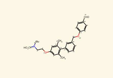 Cc1cc(OCCN(C(=O)O)C(C)(C)C)cc(C)c1-c1cccc(COc2ccc(C=O)cc2)c1